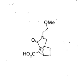 COCCN1CC23C=CC(O2)C(C(=O)O)C3C1=O